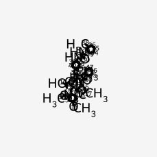 COc1ccc([C@H](CC(=O)O)NC(=O)[C@H](CC(C)C)N2C(=O)N(Cc3ccc(NC(=O)Nc4ccccc4C)cc3)[C@@](C)(c3ccccc3)C2=O)c(OC)c1